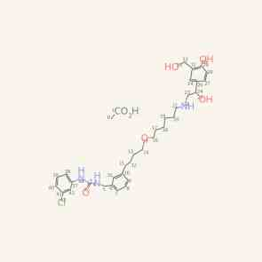 CC(=O)O.O=C(NCc1cccc(CCCCOCCCCCCNC[C@H](O)c2ccc(O)c(CO)c2)c1)Nc1cccc(Cl)c1